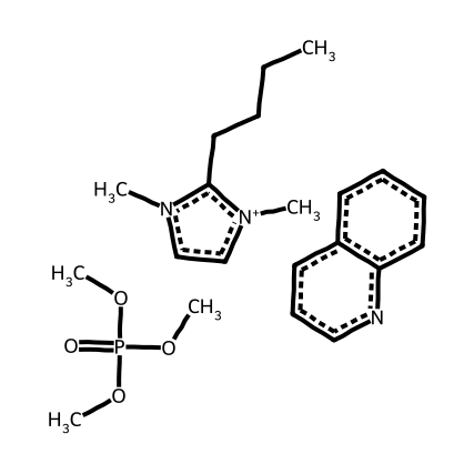 CCCCc1n(C)cc[n+]1C.COP(=O)(OC)OC.c1ccc2ncccc2c1